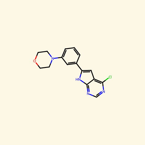 Clc1ncnc2[nH]c(-c3cccc(N4CCOCC4)c3)cc12